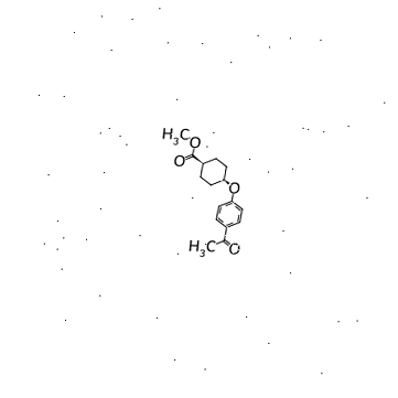 COC(=O)[C@H]1CC[C@@H](Oc2ccc(C(C)=O)cc2)CC1